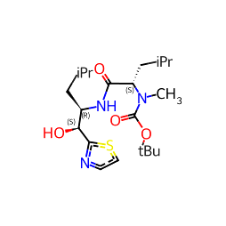 CC(C)C[C@@H](NC(=O)[C@H](CC(C)C)N(C)C(=O)OC(C)(C)C)[C@H](O)c1nccs1